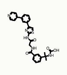 CC(C)(NC(=O)O)c1cccc(C(=O)NCC(=O)Nc2nc(-c3cccc(-c4ccncc4)c3)cs2)c1